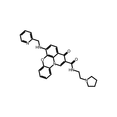 O=C(NCCN1CCCC1)c1cn2c3c(c(NCc4ccccn4)ccc3c1=O)Oc1ccccc1-2